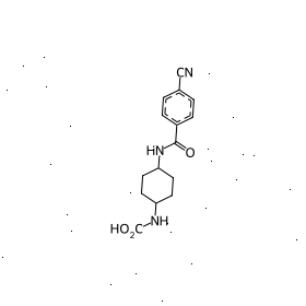 N#Cc1ccc(C(=O)NC2CCC(NC(=O)O)CC2)cc1